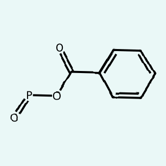 O=POC(=O)c1ccccc1